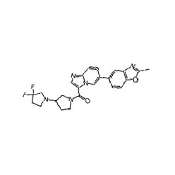 Cc1nc2cc(-c3ccc4ncc(C(=O)N5CCC(N6CCC(F)(F)C6)C5)n4c3)ccc2o1